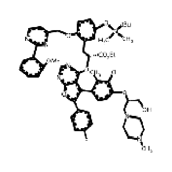 CCOC(=O)[C@@H](Cc1cc(O[Si](C)(C)C(C)(C)C)ccc1OCc1ccnc(-c2ccccc2OC)n1)Oc1ncnc2oc(-c3ccc(F)cc3)c(-c3ccc(O[C@@H](CO)CN4CCN(C)CC4)c(Cl)c3C)c12